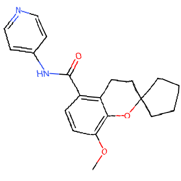 COc1ccc(C(=O)Nc2ccncc2)c2c1OC1(CCCC1)CC2